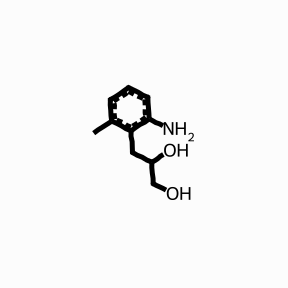 Cc1cccc(N)c1CC(O)CO